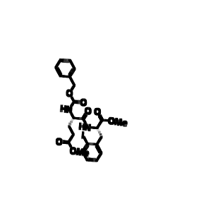 COC(=O)CC[C@H](NC(=O)OCc1ccccc1)C(=O)N[C@@H](Cc1ccccc1I)C(=O)OC